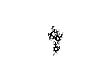 COc1ccc(C(=O)Nc2cc(F)c(F)c([C@]34COC[C@H]3C[C@](F)(CF)C(N)=N4)c2)nc1